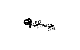 C=C(OCC(F)(F)C(=O)OCCOC(=O)C(C)(C)CC)C12CC3CC(CC(C3)C1)C2